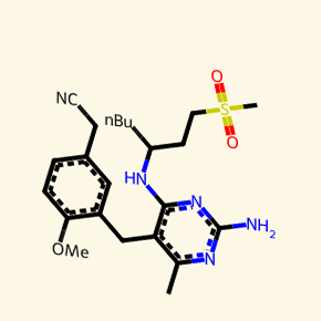 CCCCC(CCS(C)(=O)=O)Nc1nc(N)nc(C)c1Cc1cc(CC#N)ccc1OC